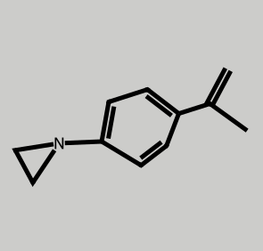 C=C(C)c1ccc(N2CC2)cc1